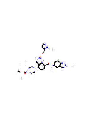 C[C@@H]1CN(c2ccc(C(=O)Nc3cc(F)c4nn(C)cc4c3)c3nc(OCc4ccnn4C)ncc23)C[C@H](C)N1C(=O)OC(C)(C)C